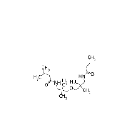 CCCC(=O)NCC(C)(C)COCC(C)(C)CNC(=O)CC(C)C